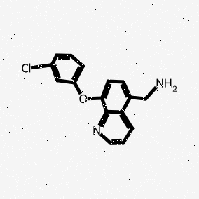 NCc1ccc(Oc2cccc(Cl)c2)c2ncccc12